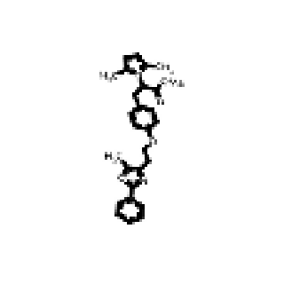 COC(=O)C(Cc1ccc(OCCc2nc(-c3ccccc3)oc2C)cc1)n1c(C)ccc1C